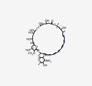 C[C@@H]1OC(=O)CC(O)CC(O)CCC(O)C(O)CC(O)CC2(O)C[C@H](O)C(C(=O)O)[C@H](CC(O[C@@H]3O[C@H](C)C(O)[C@H](N)C3O)/C=C/C=C/C=C/C=C/C=C/C=C/C=C/[C@H](C)C(O)[C@H]1C)O2